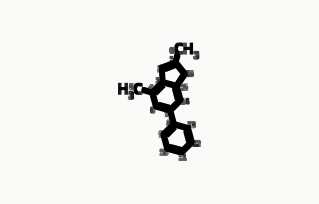 CC1=Cc2c(C)cc(-c3ccccc3)cc2[CH]1